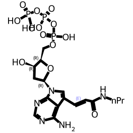 CCCNC(=O)/C=C/c1cn([C@H]2C[C@@H](O)[C@@H](COP(=O)(O)OP(=O)(O)OP(=O)(O)O)O2)c2ncnc(N)c12